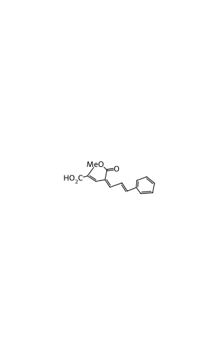 COC(=O)C(C=C(C)C(=O)O)=CC=Cc1ccccc1